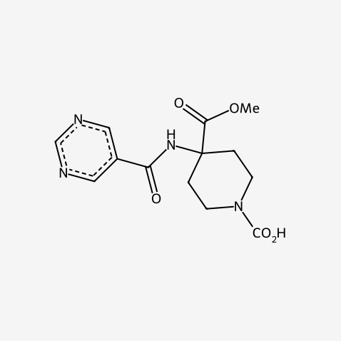 COC(=O)C1(NC(=O)c2cncnc2)CCN(C(=O)O)CC1